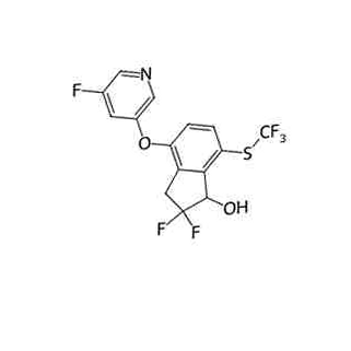 OC1c2c(SC(F)(F)F)ccc(Oc3cncc(F)c3)c2CC1(F)F